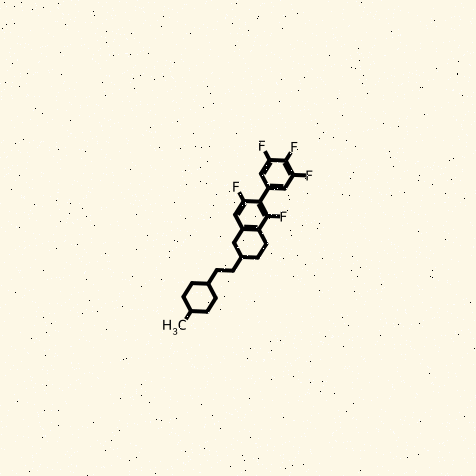 CC1CCC(CCC2CCc3c(cc(F)c(-c4cc(F)c(F)c(F)c4)c3F)C2)CC1